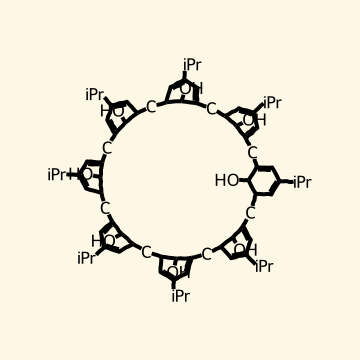 CC(C)C1=CC2CC3=CC(C(C)C)=CC(CC4=CC(C(C)C)=CC(CC5C=C(C(C)C)C=C(CC6C=C(C(C)C)C=C(CC7=CC(C(C)C)=CC(CC8C=C(C(C)C)C=C(CC9C=C(C(C)C)C=C(CC(=C1)C2O)C9O)C8O)C7O)C6O)C5O)C4O)C3O